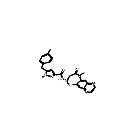 Cc1ccc(Cc2cc(C(=O)N[C@H]3COc4cc5nccnc5cc4N(C)C(=O)C3)nn2C)cc1